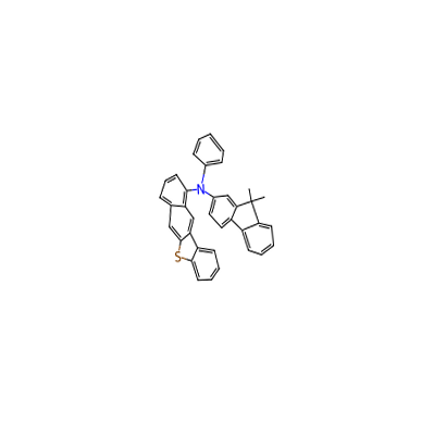 CC1(C)c2ccccc2-c2ccc(N(c3ccccc3)c3cccc4cc5sc6ccccc6c5cc34)cc21